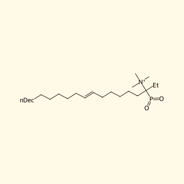 CCCCCCCCCCCCCCCC=CCCCCCC(CC)(P(=O)=O)[N+](C)(C)C